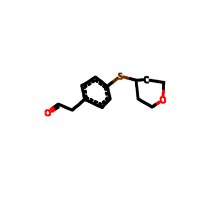 O=CCc1ccc(SC2CCOCC2)cc1